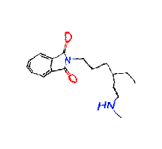 CCC(CCCN1C(=O)c2ccccc2C1=O)CCNC